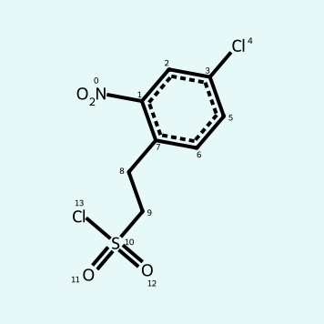 O=[N+]([O-])c1cc(Cl)ccc1CCS(=O)(=O)Cl